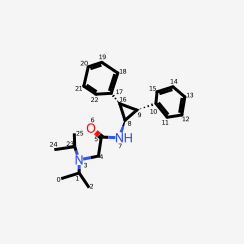 CC(C)N(CC(=O)N[C@@H]1[C@@H](c2ccccc2)[C@H]1c1ccccc1)C(C)C